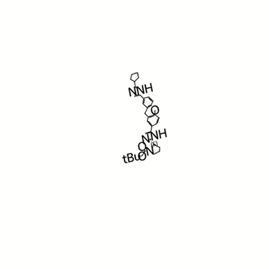 CC(C)(C)OC(=O)N1CCC[C@H]1c1ncc(-c2ccc3c(c2)Cc2cc(-c4cnc(C5CCCC5)[nH]4)ccc2O3)[nH]1